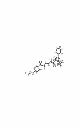 COC1CCC(C(=O)NCCNC(=O)c2cn(C3C=CC=CC3)nc2C(F)(F)F)CC1